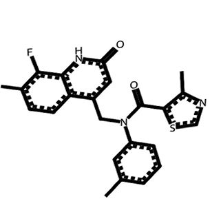 Cc1cccc(N(Cc2cc(=O)[nH]c3c(F)c(F)ccc23)C(=O)c2scnc2C)c1